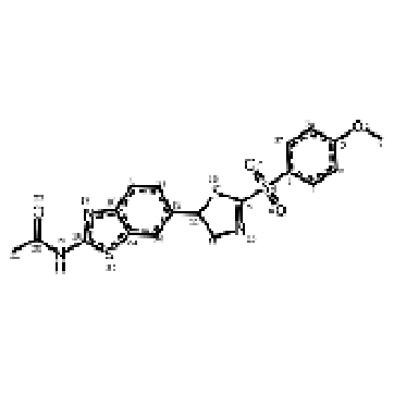 COc1ccc(S(=O)(=O)C2=NCC(c3ccc4nc(NC(C)=O)sc4c3)S2)cc1